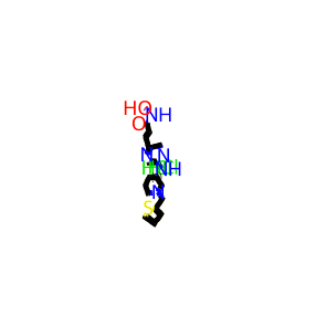 Cl.Cl.O=C(C=Cc1cnc(N[C@@H]2CCCN(Cc3cccs3)C2)cn1)NO